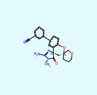 CN1C(=O)[C@]2(C[C@]3(CCCOC3)Oc3ccc(-c4cccc(C#N)c4)cc32)N=C1N